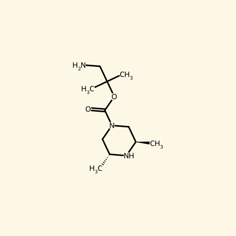 C[C@@H]1CN(C(=O)OC(C)(C)CN)C[C@@H](C)N1